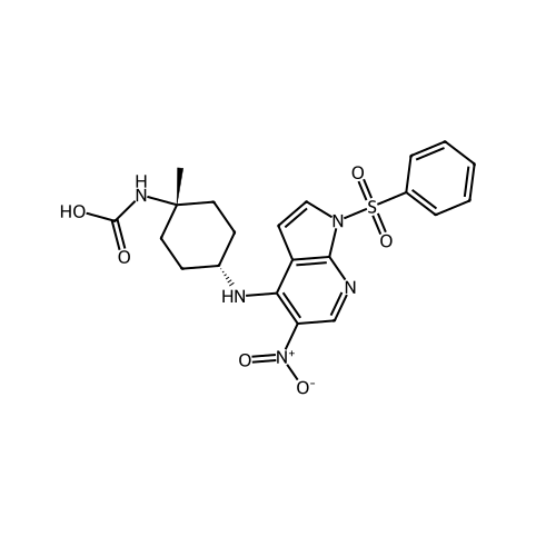 C[C@]1(NC(=O)O)CC[C@@H](Nc2c([N+](=O)[O-])cnc3c2ccn3S(=O)(=O)c2ccccc2)CC1